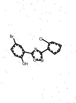 Oc1ccc(Br)cc1-c1nc(-c2ccccc2Cl)no1